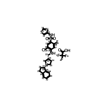 O=C(O)C(F)(F)F.O=S(=O)(Nc1cscn1)c1cc(Cl)c(NC[C@@H]2CCN([C@H]3CCc4ccccc43)C2)cc1F